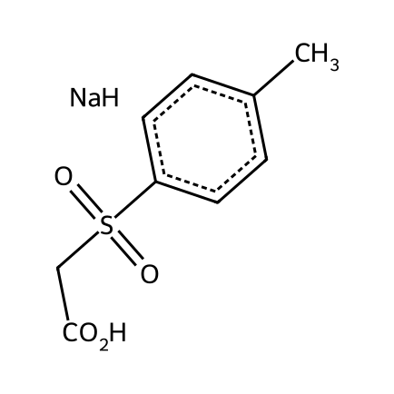 Cc1ccc(S(=O)(=O)CC(=O)O)cc1.[NaH]